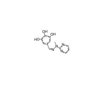 CN(/N=C\c1cc(O)c(O)c(O)c1)c1ncccn1